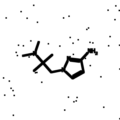 CN(C)C(C)(C)Cn1ccc(N)n1